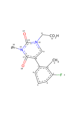 Cc1c(F)cccc1-c1cn(CC(=O)O)c(=O)n(C(C)C)c1=O